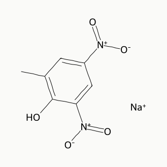 Cc1cc([N+](=O)[O-])cc([N+](=O)[O-])c1O.[Na+]